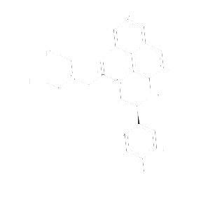 CCN(CC)CC(=O)N1C[C@H](c2ccc(Cl)cc2)Sc2ccc3ccccc3c21